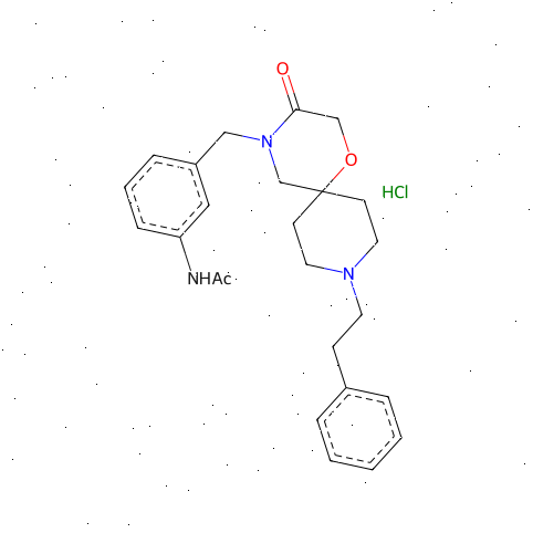 CC(=O)Nc1cccc(CN2CC3(CCN(CCc4ccccc4)CC3)OCC2=O)c1.Cl